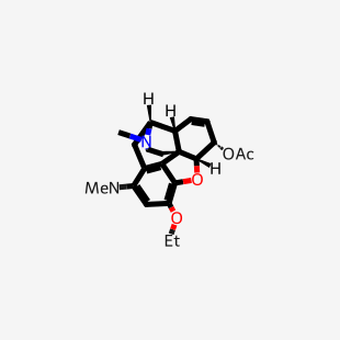 CCOc1cc(NC)c2c3c1O[C@H]1[C@@H](OC(C)=O)C=C[C@H]4[C@@H](C2)N(C)CC[C@@]341